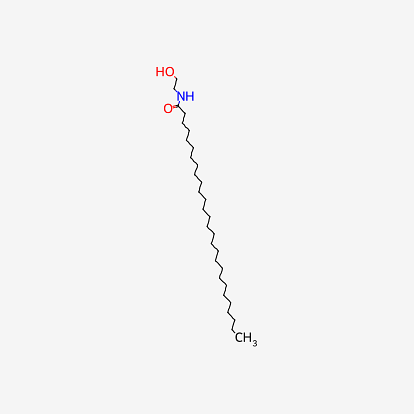 CCCCCCCCCCCCCCCCCCCCCCCCCCCC(=O)NCCO